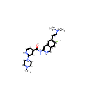 CN(C)/C=C/c1cc2cc(NC(=O)c3ccnc(N4CCN(C)CC4)c3)ncc2cc1F